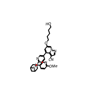 COc1ccc(CN2C3CC2CN(c2ccc(-c4cc(OCCCCCO)cn5ncc(C#N)c45)cn2)C3)cn1